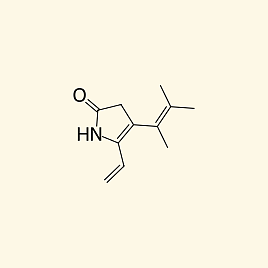 C=CC1=C(C(C)=C(C)C)CC(=O)N1